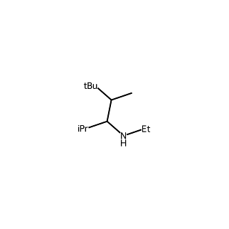 CCNC(C(C)C)C(C)C(C)(C)C